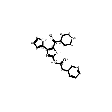 O=C(CC1C=CC=NC1)Nc1nc(-c2ccco2)c(C(=O)C2CCOCC2)s1